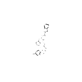 CN(C[C@H](O)CNC(=O)[C@H](CC1CCCC1)NC(=O)c1cc2ccccc2s1)S(=O)(=O)c1ccc(Cl)cc1Cl